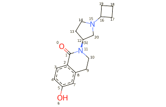 O=C1c2ccc(O)cc2CCN1[C@H]1CCN(C2CCC2)C1